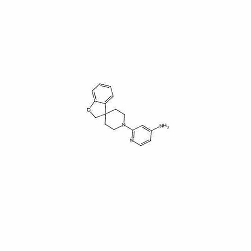 Nc1ccnc(N2CCC3(CC2)COc2ccccc23)c1